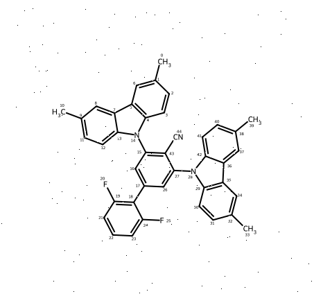 Cc1ccc2c(c1)c1cc(C)ccc1n2-c1cc(-c2c(F)cccc2F)cc(-n2c3ccc(C)cc3c3cc(C)ccc32)c1C#N